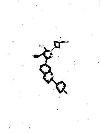 C[C@]1(O)C[C@@H](n2nc(-c3ccc4ccc(-c5ccc(F)cc5)nc4c3)c(C#N)c2N)C1